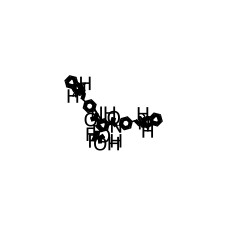 O=C(N[C@H]1CC[C@H](CCN2[C@@H]3CC[C@H]2c2ccccc23)CC1)c1cccc(C(=O)N[C@H]2CC[C@H](CCN3[C@@H]4CC[C@H]3c3ccccc34)CC2)c1.O=C(O)C(F)(F)F